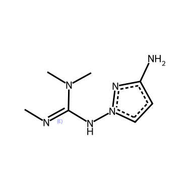 C/N=C(/Nn1ccc(N)n1)N(C)C